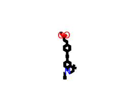 C#CCN1CCC(C)(C)c2cc(C#Cc3ccc(/C=C/C(=O)OC)cc3)ccc21